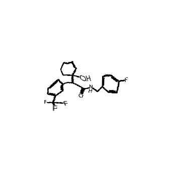 O=C(NCc1ccc(F)cc1)C(c1cccc(C(F)(F)F)c1)C1(O)CCCCC1